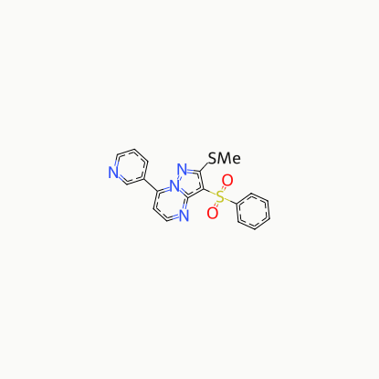 CSc1nn2c(-c3cccnc3)ccnc2c1S(=O)(=O)c1ccccc1